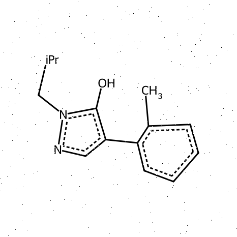 Cc1ccccc1-c1cnn(CC(C)C)c1O